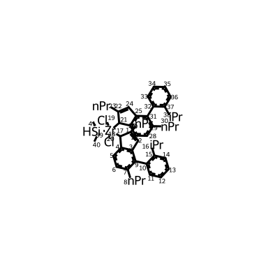 CCCC1=Cc2c(ccc(CCC)c2-c2ccccc2C(C)C)[CH]1[Zr]([Cl])([Cl])([CH]1C(CCC)=Cc2c1ccc(CCC)c2-c1ccccc1C(C)C)[SiH](C)C